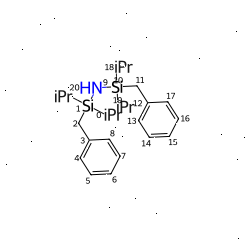 CC(C)[Si](Cc1ccccc1)(N[Si](Cc1ccccc1)(C(C)C)C(C)C)C(C)C